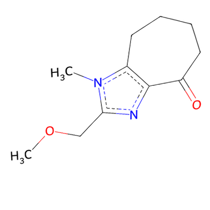 COCc1nc2c(n1C)CCCCC2=O